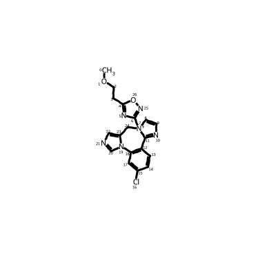 COCCc1nc([N+]23C=CN=C2c2ccc(Cl)cc2-n2cncc2C3)no1